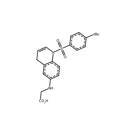 CC(C)(C)c1ccc(S(=O)(=O)N2C=CCc3cc(NCC(=O)O)ccc32)cc1